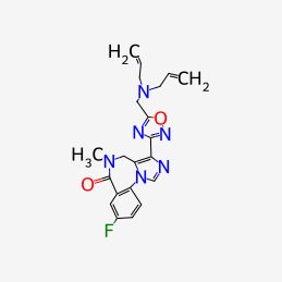 C=CCN(CC=C)Cc1nc(-c2ncn3c2CN(C)C(=O)c2cc(F)ccc2-3)no1